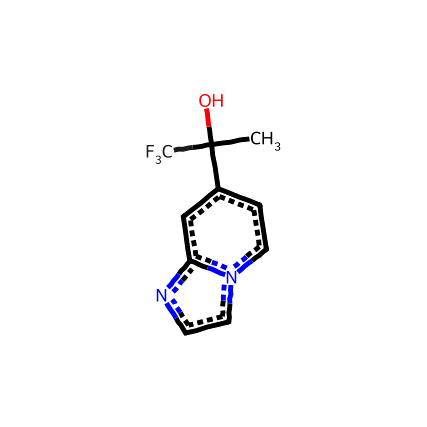 CC(O)(c1ccn2ccnc2c1)C(F)(F)F